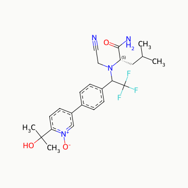 CC(C)C[C@@H](C(N)=O)N(CC#N)C(c1ccc(-c2ccc(C(C)(C)O)[n+]([O-])c2)cc1)C(F)(F)F